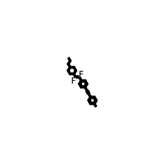 CCCC1CCC(/C(F)=C(\F)c2ccc(C#Cc3ccc(C)cc3)cc2)CC1